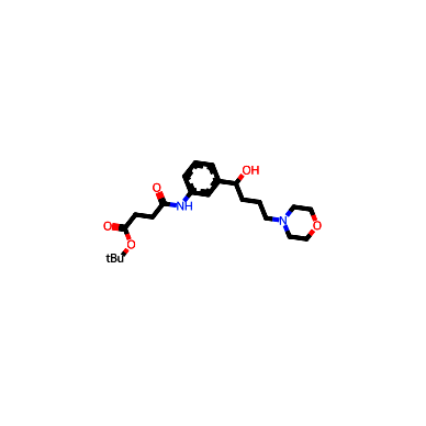 CC(C)(C)OC(=O)CCC(=O)Nc1cccc(C(O)CCCN2CCOCC2)c1